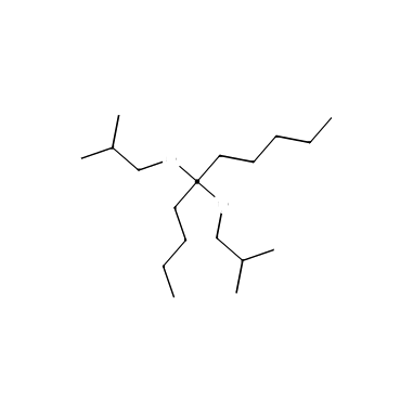 CCCCCC(CCCC)(OCC(C)C)OCC(C)C